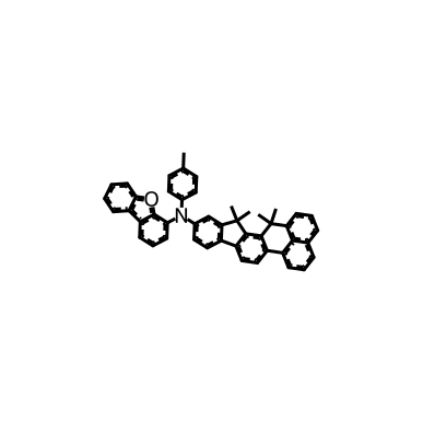 Cc1ccc(N(c2ccc3c(c2)C(C)(C)c2c-3ccc3c2C(C)(C)c2cccc4cccc-3c24)c2cccc3c2oc2ccccc23)cc1